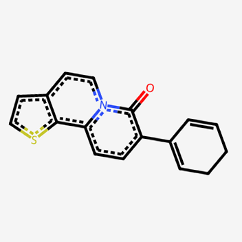 O=c1c(C2=CCCC=C2)ccc2c3sccc3ccn12